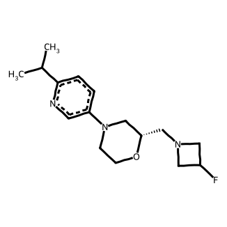 CC(C)c1ccc(N2CCO[C@@H](CN3CC(F)C3)C2)cn1